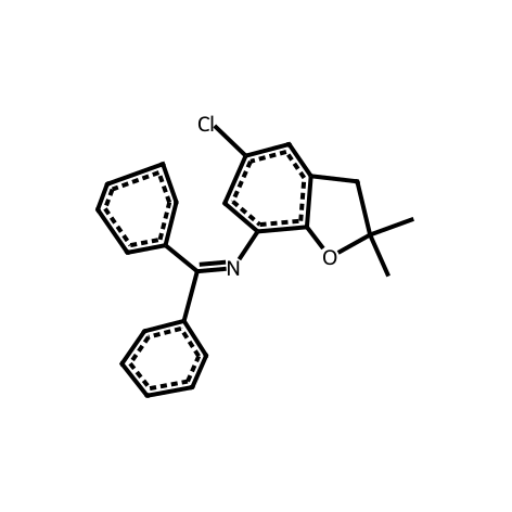 CC1(C)Cc2cc(Cl)cc(N=C(c3ccccc3)c3ccccc3)c2O1